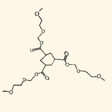 COCCOCOC(=O)C1CC(C(=O)OCOCCOC)CC(C(=O)OCOCCOC)C1